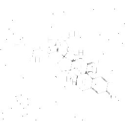 CC(C)OCC(=O)[C@@]1(OC(C)C)CC[C@H]2[C@@H]3CCC4=CC(=O)C=C[C@]4(C)[C@H]3C(=O)C[C@@]21C